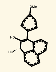 COc1ccc(C2=C(O)[C@@H](O)c3cccc4cccc2c34)cc1